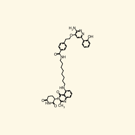 Cc1nc2cccc(NCCCCCCCCNC(=O)c3ccc(CCOc4cc(-c5ccccc5O)nnc4N)cc3)c2c(=O)n1C1CCC(=O)NC1=O